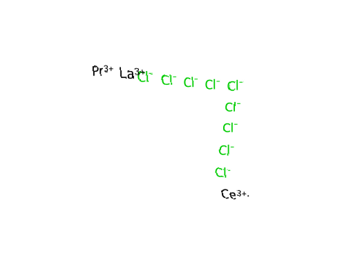 [Ce+3].[Cl-].[Cl-].[Cl-].[Cl-].[Cl-].[Cl-].[Cl-].[Cl-].[Cl-].[La+3].[Pr+3]